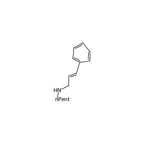 CCCCCNCC=Cc1ccccc1